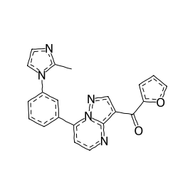 Cc1nccn1-c1cccc(-c2ccnc3c(C(=O)c4ccco4)cnn23)c1